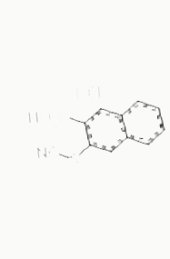 Cl.N#CSc1cc2ccccc2cc1C(=O)O